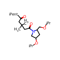 CCCC(C)C(=O)CC(C)(C)CC(=O)N1CC(OC(C)C)CC1COC(C)C